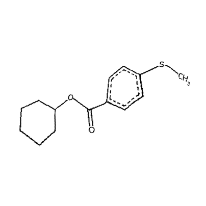 CSc1ccc(C(=O)OC2CCCCC2)cc1